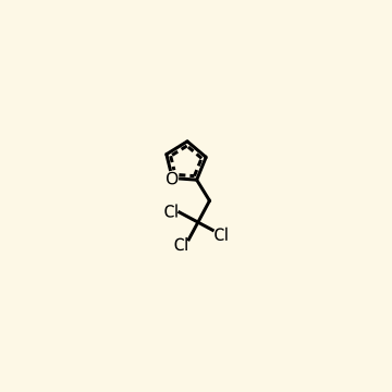 ClC(Cl)(Cl)Cc1ccco1